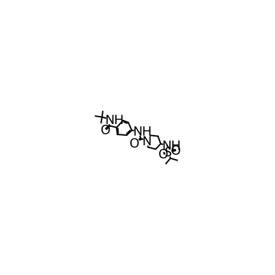 CC(C)S(=O)(=O)NC1CCN(C(=O)Nc2ccc(C(=O)NC(C)(C)C)cc2)CC1